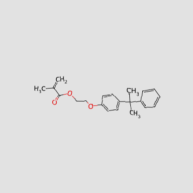 C=C(C)C(=O)OCCOc1ccc(C(C)(C)c2ccccc2)cc1